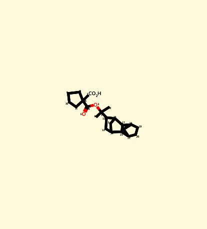 CC(C)(OC(=O)C1(C(=O)O)CCCC1)C1CC2CC1C1C3CCC(C3)C21